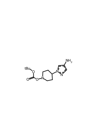 CC(C)(C)OC(=O)ON1CCC(n2cc(N)cn2)CC1